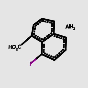 O=C(O)c1cccc2cccc(I)c12.[AlH3]